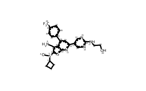 Nc1c([S+]([O-])C2CCC2)sc2nc(-c3cnc(NCCO)nc3)cc(-c3ccc(C(F)(F)F)cc3)c12